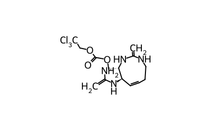 C=C(N)N[C@@H]1/C=C\CCNC(=C)N[C@H]1COC(=O)OCC(Cl)(Cl)Cl